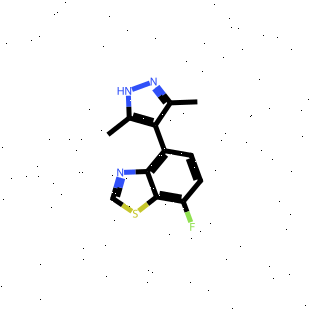 Cc1n[nH]c(C)c1-c1ccc(F)c2scnc12